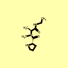 CCNC(=O)[C@H](C)N(C)C(=O)[C@@H]1CCCN1